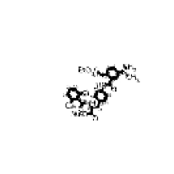 CCOC(=O)Nc1ccc(N(C)C)cc1C(=O)Nc1ccc(C[C@H](NC(=O)c2c(Cl)cccc2Cl)C(=O)OC)cc1